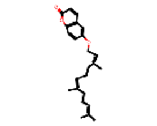 CC(C)=CCCC(C)=CCCC(C)=CCOc1ccc2oc(=O)ccc2c1